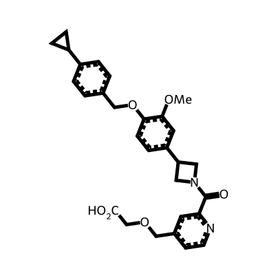 COc1cc(C2CN(C(=O)c3cc(COCC(=O)O)ccn3)C2)ccc1OCc1ccc(C2CC2)cc1